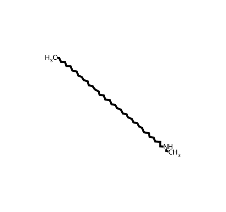 CCCCCCCCCCCCCCCCCCCCCCCCCCCCCCCCCCCCCCCNCC